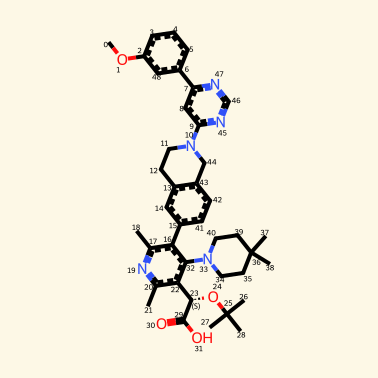 COc1cccc(-c2cc(N3CCc4cc(-c5c(C)nc(C)c([C@H](OC(C)(C)C)C(=O)O)c5N5CCC(C)(C)CC5)ccc4C3)ncn2)c1